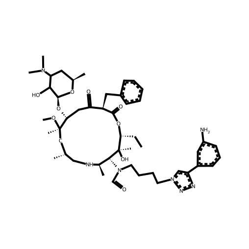 CC[C@H]1OC(=O)[C@H](Cc2ccccc2)C(=O)C[C@@H](O[C@@H]2O[C@H](C)CC(N(C)C)C2O)[C@](C)(OC)C[C@@H](C)CN[C@H](C)[C@@H](N(C=O)CCCCn2cc(-c3cccc(N)c3)nn2)[C@]1(C)O